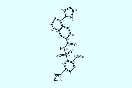 COc1ccc(C23CC(C2)C3)cc1S(=O)(=O)NC(=O)c1ccc2c(-n3cccn3)cccc2c1